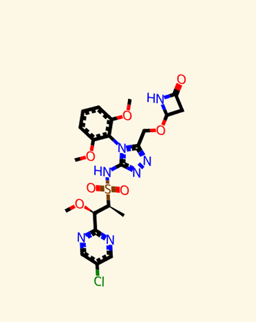 COc1cccc(OC)c1-n1c(COC2CC(=O)N2)nnc1NS(=O)(=O)[C@@H](C)[C@H](OC)c1ncc(Cl)cn1